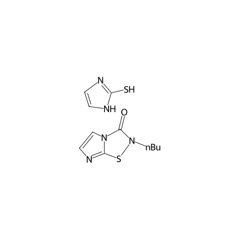 CCCCn1sc2nccn2c1=O.Sc1ncc[nH]1